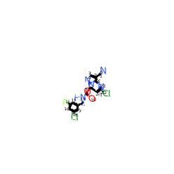 N#Cc1cnn2c(OC(=O)NCc3cc(F)cc(Cl)c3)cc(Cl)nc12